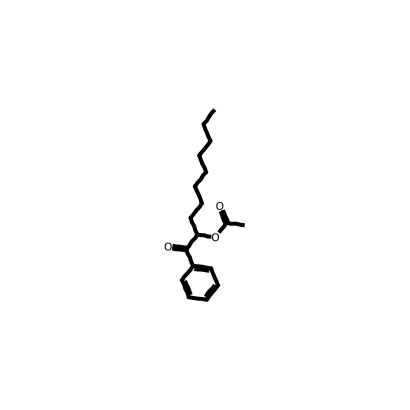 CCCCCCCCC(OC(C)=O)C(=O)c1ccccc1